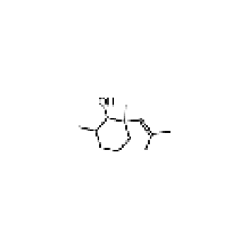 CC(C)=CC1(C)CCCC(C)C1O